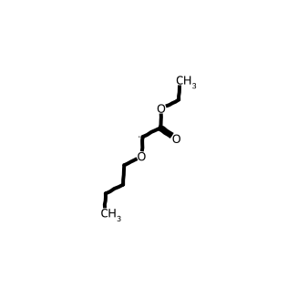 CCCCO[CH]C(=O)OCC